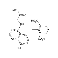 COC(=O)CNc1cccc2ccccc12.Cc1c(C(=O)O)cccc1C(=O)O.Cl